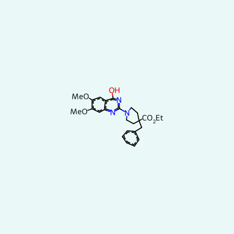 CCOC(=O)C1(Cc2ccccc2)CCN(c2nc(O)c3cc(OC)c(OC)cc3n2)CC1